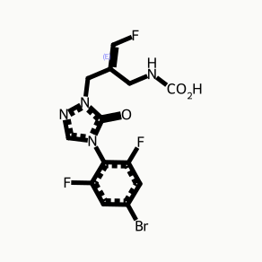 O=C(O)NC/C(=C\F)Cn1ncn(-c2c(F)cc(Br)cc2F)c1=O